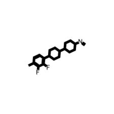 C=NC1CCC(C2CCC(c3ccc(C)c(F)c3F)CC2)CC1